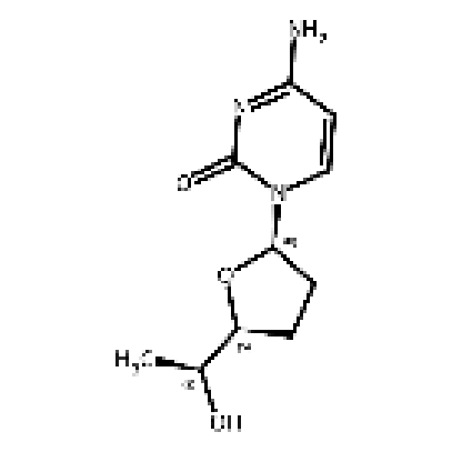 C[C@H](O)[C@@H]1CC[C@H](n2ccc(N)nc2=O)O1